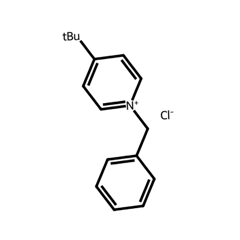 CC(C)(C)c1cc[n+](Cc2ccccc2)cc1.[Cl-]